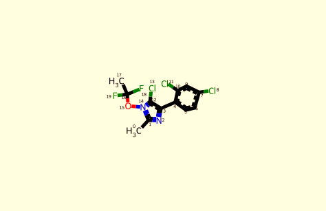 Cc1nc(-c2ccc(Cl)cc2Cl)c(Cl)n1OC(C)(F)F